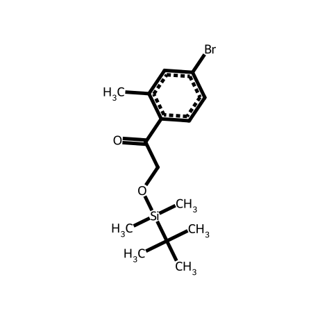 Cc1cc(Br)ccc1C(=O)CO[Si](C)(C)C(C)(C)C